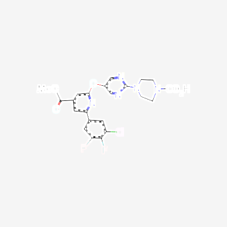 COC(=O)c1cc(Oc2cnc(N3CCN(C(=O)O)CC3)nc2)nc(-c2cc(F)c(F)c(Cl)c2)c1